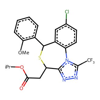 COc1ccccc1C1SC(CC(=O)OC(C)C)c2nnc(C(F)(F)F)n2-c2ccc(Cl)cc21